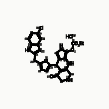 CCOC(=O)Oc1[nH]cc2c1NC1=C(C(=O)CNC1)C2c1ccc(Sc2nc3cc(Cl)ccc3[nH]2)o1.Cl